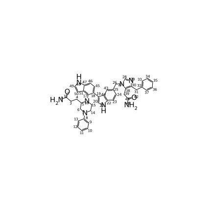 NC(=O)CCC1CN(c2ccccc2)CCN1c1c(-c2c[nH]c3ccc(Cn4cnc(Cc5ccccc5)c4CC(N)=O)cc23)ccc2[nH]ccc12